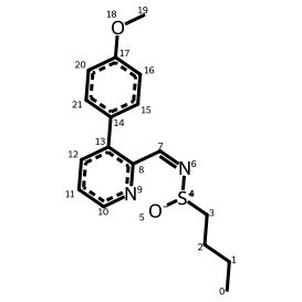 CCCC[S+]([O-])/N=C\c1ncccc1-c1ccc(OC)cc1